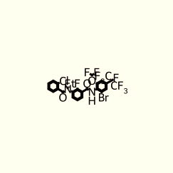 CCN(C(=O)c1ccccc1Cl)c1cccc(C(=O)Nc2c(Br)cc(C(F)(C(F)(F)F)C(F)(F)F)cc2OC(F)F)c1F